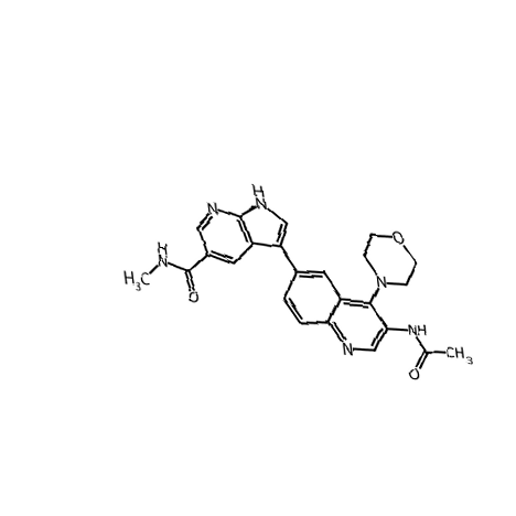 CNC(=O)c1cnc2[nH]cc(-c3ccc4ncc(NC(C)=O)c(N5CCOCC5)c4c3)c2c1